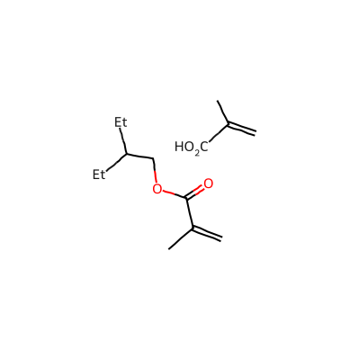 C=C(C)C(=O)O.C=C(C)C(=O)OCC(CC)CC